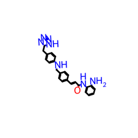 Nc1ccccc1NC(=O)C=Cc1ccc(CNc2ccc(Cc3nnn[nH]3)cc2)cc1